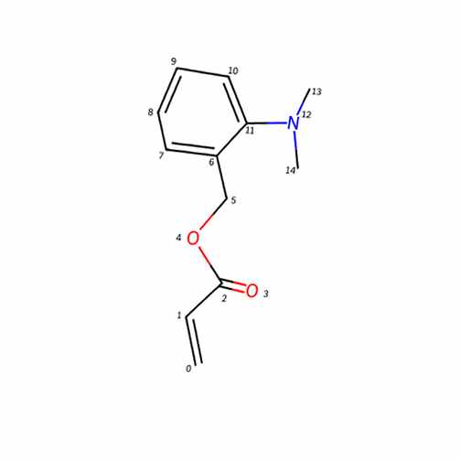 C=CC(=O)OCc1ccccc1N(C)C